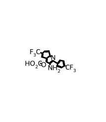 Nc1c(-c2ccc(C(F)(F)F)cc2)nc2ccc(C(F)(F)F)cc2c1OC(=O)O